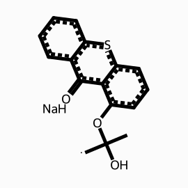 [CH2]C(C)(O)Oc1cccc2sc3ccccc3c(=O)c12.[NaH]